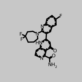 NC(=O)c1nccc2[nH]c(-c3cc4cc(F)ccc4nc3N3CCCC(F)(F)CC3)cc(=O)c12